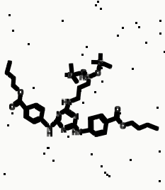 CCCCOC(=O)c1ccc(Nc2nc(NCCC[SiH](O[Si](C)(C)C)O[Si](C)(C)C)nc(Nc3ccc(C(=O)OCCCC)cc3)n2)cc1